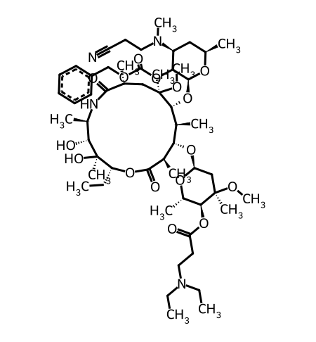 CC[C@H]1OC(=O)[C@H](C)[C@@H](O[C@H]2C[C@@](C)(OC)[C@@H](OC(=O)CCN(CC)CC)[C@H](C)O2)[C@H](C)[C@@H](O[C@@H]2O[C@H](C)C[C@H](N(C)CCC#N)C2OC(=O)OCc2ccccc2)[C@](C)(OC)C[C@@H](C)C(=O)N[C@H](C)[C@@H](O)[C@]1(C)O